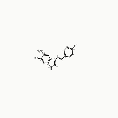 Nc1cc2c(C=Cc3ccc(F)cc3)n[nH]c2cc1F